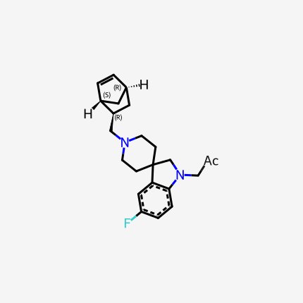 CC(=O)CN1CC2(CCN(C[C@@H]3C[C@@H]4C=C[C@@H]3C4)CC2)c2cc(F)ccc21